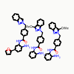 COc1c2ccccc2nn1Cc1ccc(C(=O)Nc2ccccc2N)cc1.COc1nn(Cc2ccc(C(=O)Nc3ccccc3N)cc2)c2ccccc12.Nc1ccc(-c2ccco2)cc1NC(=O)c1ccc(Cn2cc3ccccc3n2)cc1